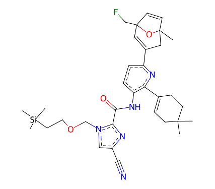 CC1(C)CC=C(c2nc(C3=CC4(CF)C=CC(C)(C3)O4)ccc2NC(=O)c2nc(C#N)cn2COCC[Si](C)(C)C)CC1